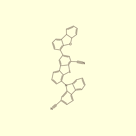 N#Cc1ccc2c3ccccc3n(-c3cccc4c3sc3c(C#N)cc(-c5cccc6c5OC5C=CC=CC65)cc34)c2c1